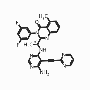 Cc1cccc2nc([C@H](C)Nc3ncnc(N)c3C#Cc3ncccn3)n(-c3cc(F)cc(F)c3)c(=O)c12